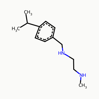 CNCCNCc1ccc(C(C)C)cc1